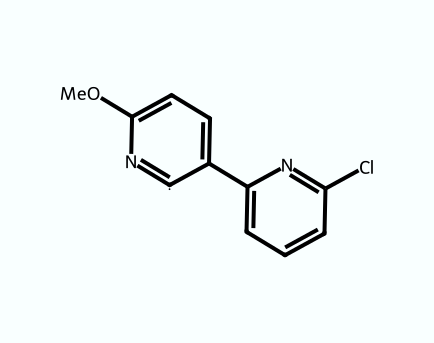 COc1ccc(-c2cccc(Cl)n2)[c]n1